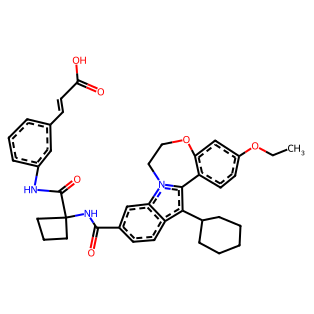 CCOc1ccc2c(c1)OCCn1c-2c(C2CCCCC2)c2ccc(C(=O)NC3(C(=O)Nc4cccc(C=CC(=O)O)c4)CCC3)cc21